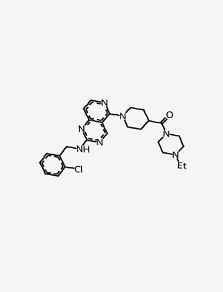 CCN1CCN(C(=O)C2CCN(c3nccc4nc(NCc5ccccc5Cl)ncc34)CC2)CC1